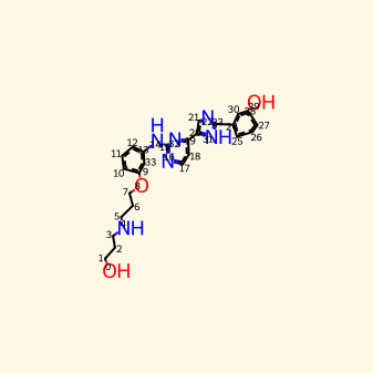 OCCCNCCCOc1cccc(Nc2nccc(-c3cnc(-c4cccc(O)c4)[nH]3)n2)c1